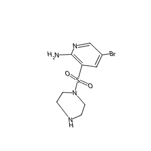 Nc1ncc(Br)cc1S(=O)(=O)N1CCNCC1